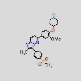 COc1cc(-c2ccc3nc(C)c(-c4ccc(S(C)(=O)=O)cc4)n3n2)ccc1OC1CCNCC1